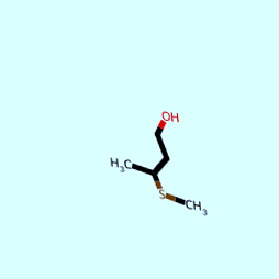 CSC(C)CCO